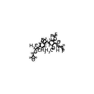 COc1cc(-c2cnn3cc(C(C)(C)COCC4COC4)ccc23)cc(OC(F)F)c1C(=O)NC1CC1F